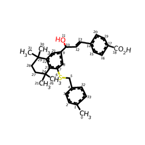 Cc1ccc(CSc2cc(C(O)/C=C/c3ccc(C(=O)O)cc3)cc3c2C(C)(C)CCC3(C)C)cc1